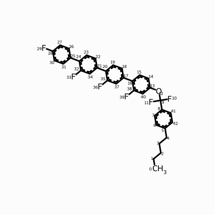 CCCCCc1ccc(C(F)(F)Oc2ccc(-c3ccc(-c4ccc(-c5ccc(F)cc5)c(F)c4)c(F)c3)c(F)c2)cc1